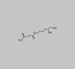 CC(=O)CCC(=O)OCCCCC(O)CO